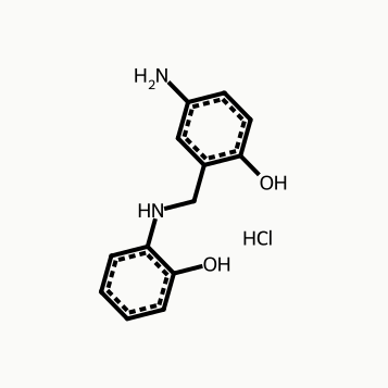 Cl.Nc1ccc(O)c(CNc2ccccc2O)c1